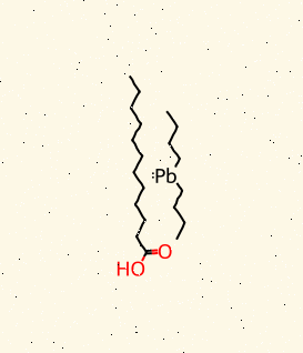 CCCCCCCCCCCC(=O)O.CCC[CH2][Pb][CH2]CCC